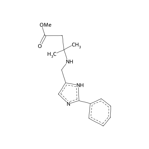 COC(=O)CC(C)(C)NCc1cnc(-c2ccccc2)[nH]1